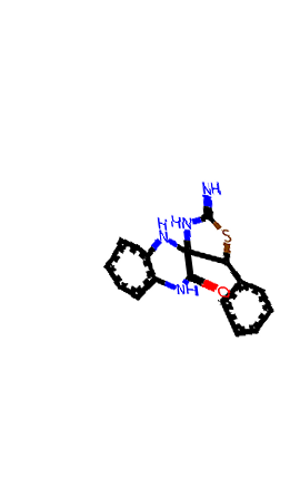 N=C1NC2(Nc3ccccc3NC2=O)C(c2ccccc2)S1